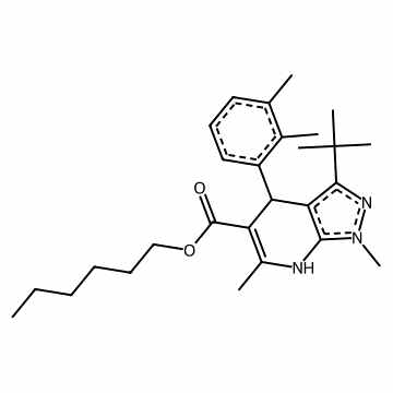 CCCCCCOC(=O)C1=C(C)Nc2c(c(C(C)(C)C)nn2C)C1c1cccc(C)c1C